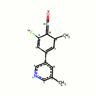 Cc1cncc(C2=CC(C)C(=C=O)C(F)=C2)c1